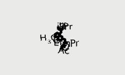 CCCC(CC1CC(=O)c2c(C)ccc(CC(CC(C)C)CC(C)C)c2C1)C(CC)C(=O)CC(C)=O